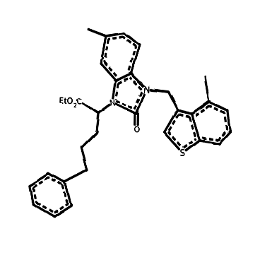 CCOC(=O)C(CCCc1ccccc1)n1c(=O)n(Cc2csc3cccc(C)c23)c2ccc(C)cc21